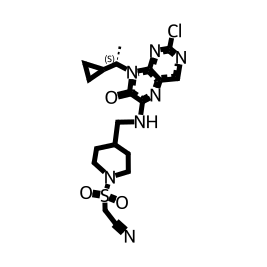 C[C@@H](C1CC1)n1c(=O)c(NCC2CCN(S(=O)(=O)CC#N)CC2)nc2cnc(Cl)nc21